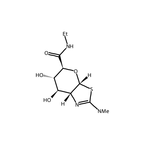 CCNC(=O)[C@H]1O[C@@H]2SC(NC)=N[C@@H]2[C@@H](O)[C@@H]1O